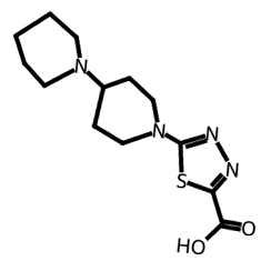 O=C(O)c1nnc(N2CCC(N3CCCCC3)CC2)s1